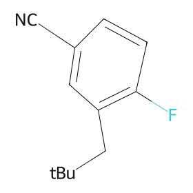 CC(C)(C)Cc1cc(C#N)ccc1F